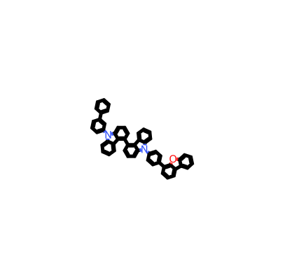 c1ccc(-c2cccc(-n3c4ccccc4c4c(-c5cccc6c5c5ccccc5n6-c5ccc(-c6cccc7c6oc6ccccc67)cc5)cccc43)c2)cc1